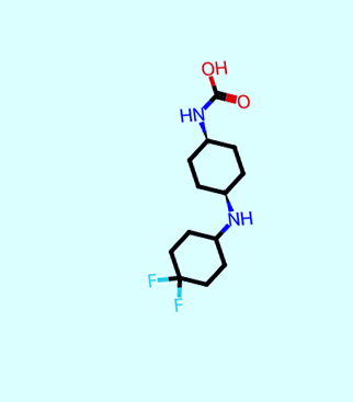 O=C(O)N[C@H]1CC[C@@H](NC2CCC(F)(F)CC2)CC1